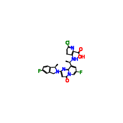 C[C@@H]1c2ccc(F)cc2CN1c1cc(=O)n2cc(F)cc([C@@H](C)Nc3ccc(Cl)nc3C(=O)O)c2n1